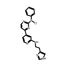 ClN(c1ccccc1)c1nccc(-c2ccnc(NCCc3c[nH]cn3)c2)n1